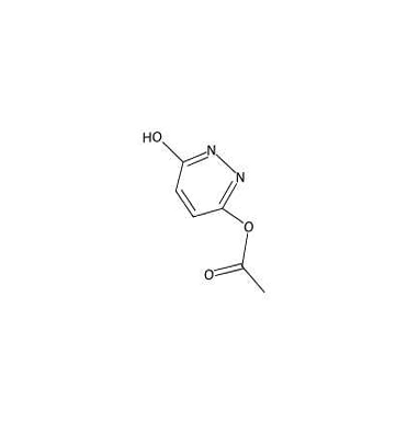 CC(=O)Oc1ccc(O)nn1